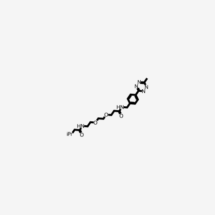 Cc1nnc(-c2ccc(CNC(=O)CCOCCOCCNC(=O)CC(C)C)cc2)nn1